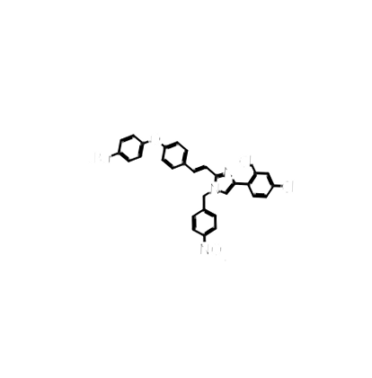 CC(C)(C)c1ccc(Oc2ccc(/C=C/c3nc(-c4ccc(Cl)cc4Cl)cn3Cc3ccc([N+](=O)[O-])cc3)cc2)cc1